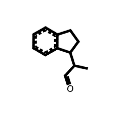 CC(C=O)C1CCc2ccccc21